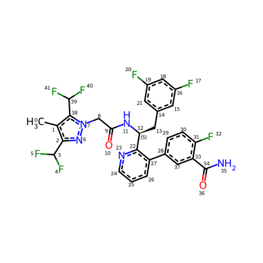 Cc1c(C(F)F)nn(CC(=O)N[C@@H](Cc2cc(F)cc(F)c2)c2ncccc2-c2ccc(F)c(C(N)=O)c2)c1C(F)F